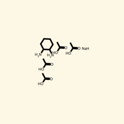 CC(=O)O.CC(=O)O.CC(=O)O.CC(=O)O.NC1CCCCC1N.[NaH]